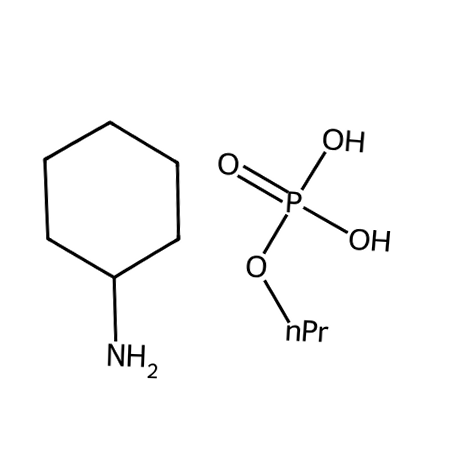 CCCOP(=O)(O)O.NC1CCCCC1